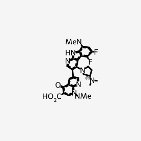 CNc1cc(F)c(F)c2c1[nH]c1ncc(-c3cnc4c(c3)c(=O)c(C(=O)O)cn4NC)c(N3CC[C@@H](N(C)C)C3)c12